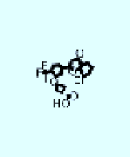 O=c1cc(-c2ccc(C(F)(F)F)c(O[C@H]3C[C@@H](C(=O)O)C3)c2)oc2c(Cl)cccc12